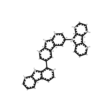 c1cnc2oc3c(-c4cnc5sc6ncc(-n7c8cccnc8c8nccnc87)cc6c5c4)nccc3c2c1